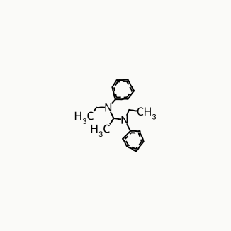 CCN(c1ccccc1)C(C)N(CC)c1ccccc1